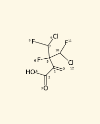 C=C(C(=O)O)C(F)(C(F)Cl)C(F)Cl